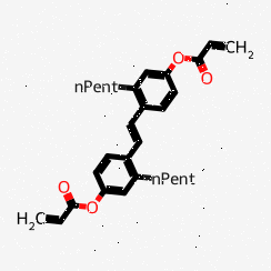 C=CC(=O)Oc1ccc(/C=C/c2ccc(OC(=O)C=C)cc2CCCCC)c(CCCCC)c1